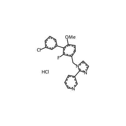 COc1ccc(Cn2ccnc2-c2cccnc2)c(F)c1-c1cccc(Cl)c1.Cl